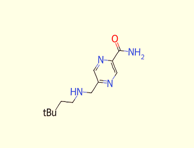 CC(C)(C)CCNCc1cnc(C(N)=O)cn1